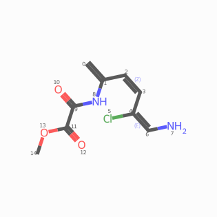 C=C(/C=C\C(Cl)=C/N)NC(=O)C(=O)OC